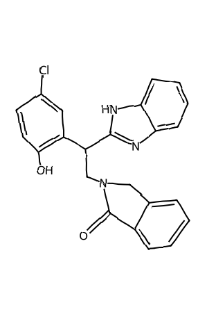 O=C1c2ccccc2CN1CC(c1nc2ccccc2[nH]1)c1cc(Cl)ccc1O